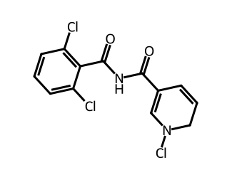 O=C(NC(=O)c1c(Cl)cccc1Cl)C1=CN(Cl)CC=C1